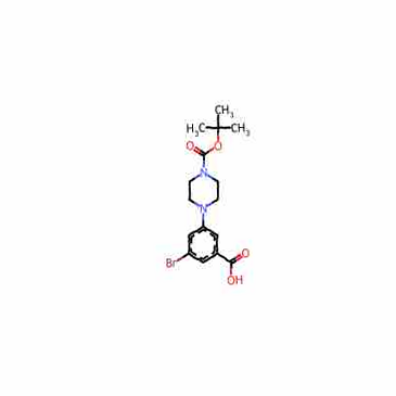 CC(C)(C)OC(=O)N1CCN(c2cc(Br)cc(C(=O)O)c2)CC1